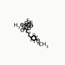 CCOc1ccc(CCCC(OS(=O)(=O)C(F)(F)F)C(=O)OC)cc1